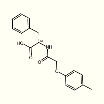 Cc1ccc(OCC(=O)N[C@@H](Cc2ccccc2)C(=O)O)cc1